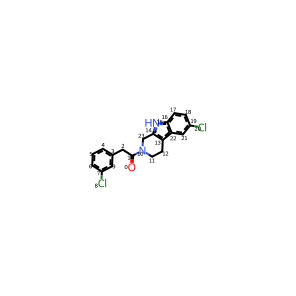 O=C(Cc1cccc(Cl)c1)N1CCc2c([nH]c3ccc(Cl)cc23)C1